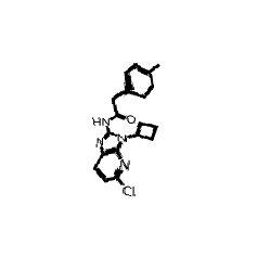 Cc1ccc(CC(=O)Nc2nc3ccc(Cl)nc3n2C2CCC2)cc1